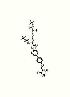 CC(C)(C)OC(=O)NCCCCC(NC(=O)OC(C)(C)C)C(=O)Nc1ccc(-c2ccc(OCC(O)C(=O)O)cc2)cn1